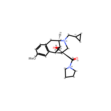 COc1ccc2c(c1)[C@]13CCN(CC4CC4)[C@H](C2)[C@]1(O)C[C@H](C(=O)N1CCCC1)C3